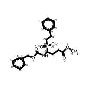 COC(=O)CCC(NC(=O)OCc1ccccc1)P(=O)(O)CCc1ccccc1